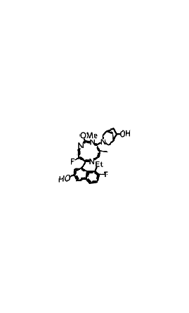 CCc1c(F)ccc2cc(O)cc(-c3ncc(C)c(N4CC5CC(O)C(C5)C4)nc(OC)ncc3F)c12